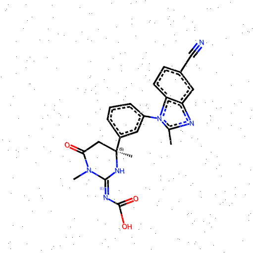 Cc1nc2cc(C#N)ccc2n1-c1cccc([C@]2(C)CC(=O)N(C)/C(=N/C(=O)O)N2)c1